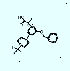 C[C@H](C(=O)O)c1cc(OCc2ccccc2)cc(-c2ccc(C(F)(F)F)cc2)c1